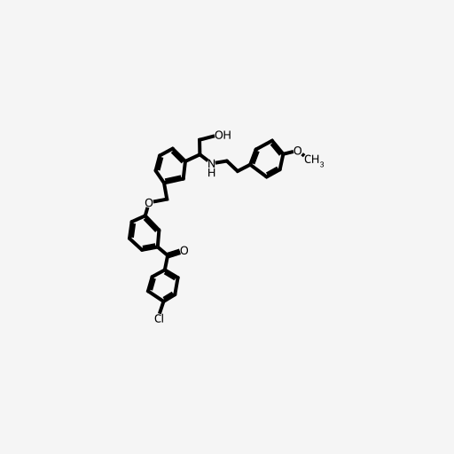 COc1ccc(CCNC(CO)c2cccc(COc3cccc(C(=O)c4ccc(Cl)cc4)c3)c2)cc1